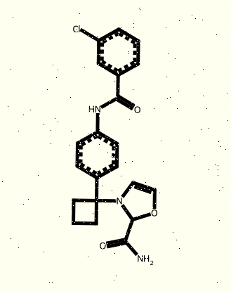 NC(=O)C1OC=CN1C1(c2ccc(NC(=O)c3cccc(Cl)c3)cc2)CCC1